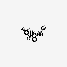 COc1ccc(C(=O)Nc2ccccc2C(=O)NN=Cc2ccsc2)cc1OC